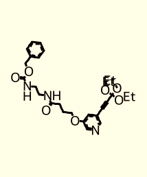 CCOC(C#Cc1cncc(OCCCC(=O)NCCNC(=O)OCc2ccccc2)c1)(OCC)OCC